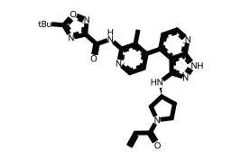 C=CC(=O)N1CC[C@@H](Nc2n[nH]c3nccc(-c4ccnc(NC(=O)c5noc(C(C)(C)C)n5)c4C)c23)C1